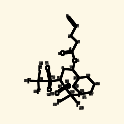 C=CCCC(=O)OC(CC(S(=O)(=O)C(F)(F)F)S(=O)(=O)C(F)(F)F)C1CCCCC1